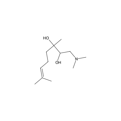 CC(C)=CCCC(C)(O)C(O)CN(C)C